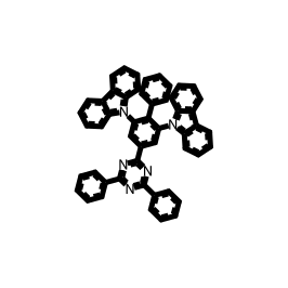 c1ccc(-c2nc(-c3ccccc3)nc(-c3cc(-n4c5ccccc5c5ccccc54)c(-c4ccccc4)c(-n4c5ccccc5c5ccccc54)c3)n2)cc1